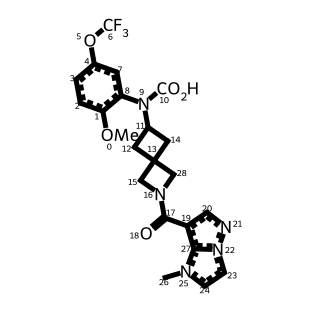 COc1ccc(OC(F)(F)F)cc1N(C(=O)O)C1CC2(C1)CN(C(=O)c1cnn3ccn(C)c13)C2